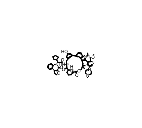 CCn1c(-c2cc(N3CCN(C)CC3)cnc2[C@H](C)OC)c2c3cc(ccc31)-c1cc(O)cc(c1)C[C@H](NC(=O)C(C1CCCC1)N(C)C(=O)[C@H]1OCC[C@H]1c1ccccc1)C(=O)C1CCC[C@H](N1)C(=O)OCC(C)(C)C2